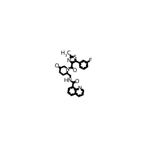 Cc1nc(C(=O)N2CC(=O)CCC2CNC(=O)c2cccc3cccnc23)c(-c2cccc(F)c2)s1